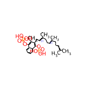 CC(C)=CCC/C(C)=C/CC/C(C)=C/Cc1c(C)c(OP(=O)(O)O)c2ccccc2c1OP(=O)(O)O